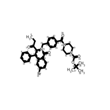 CCC(=O)c1c(-c2ccccc2)c2cc(Br)ccc2c(=O)n1Cc1ccc(C(=O)N2CCN(C(=O)OC(C)(C)C)CC2)cc1